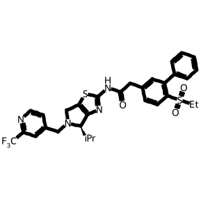 CCS(=O)(=O)c1ccc(CC(=O)Nc2nc3c(s2)CN(Cc2ccnc(C(F)(F)F)c2)[C@@H]3C(C)C)cc1-c1ccccc1